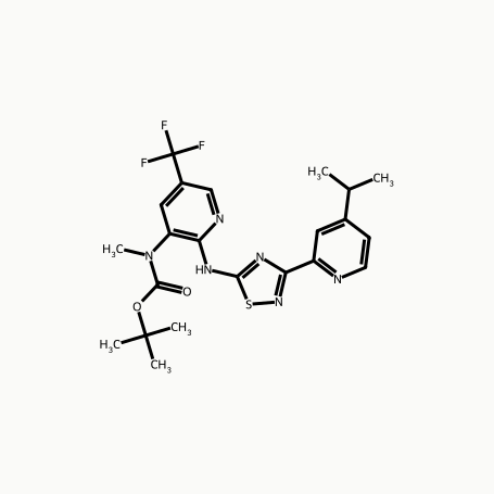 CC(C)c1ccnc(-c2nsc(Nc3ncc(C(F)(F)F)cc3N(C)C(=O)OC(C)(C)C)n2)c1